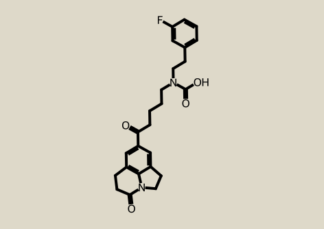 O=C(CCCCN(CCc1cccc(F)c1)C(=O)O)c1cc2c3c(c1)CCN3C(=O)CC2